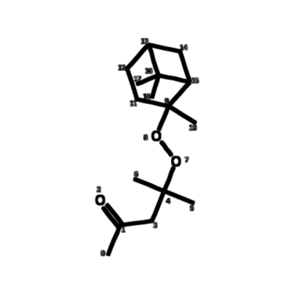 CC(=O)CC(C)(C)OOC1(C)CCC2CC1C2(C)C